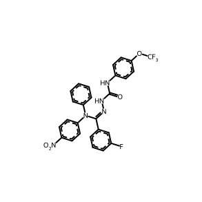 O=C(NN=C(c1cccc(F)c1)N(c1ccccc1)c1ccc([N+](=O)[O-])cc1)Nc1ccc(OC(F)(F)F)cc1